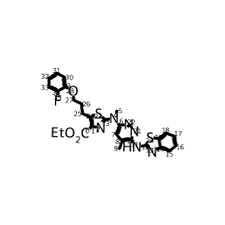 CCOC(=O)c1nc(N(C)c2cc(C)c(Nc3nc4ccccc4s3)nn2)sc1CCCOc1ccccc1F